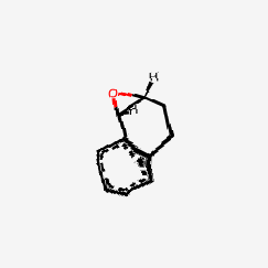 c1ccc2c(c1)CC[C@H]1O[C@@H]21